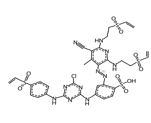 C=CS(=O)(=O)CCNc1nc(NCCS(=O)(=O)C=C)c(/N=N/c2cc(Nc3nc(Cl)nc(Nc4ccc(S(=O)(=O)C=C)cc4)n3)ccc2S(=O)(=O)O)c(C)c1C#N